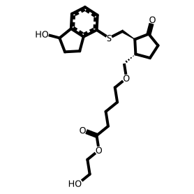 O=C(CCCCOC[C@H]1CCC(=O)[C@@H]1CSc1cccc2c1CCC2O)OCCO